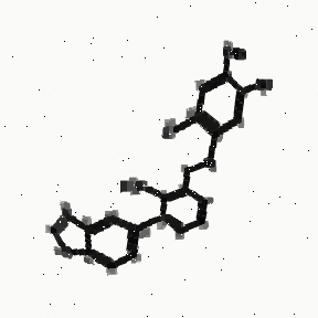 Cc1c(COc2cc(O)c(C=O)cc2Cl)cccc1-c1ccc2ocnc2c1